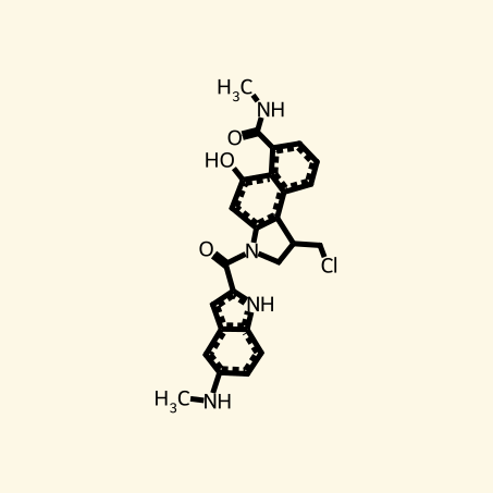 CNC(=O)c1cccc2c3c(cc(O)c12)N(C(=O)c1cc2cc(NC)ccc2[nH]1)CC3CCl